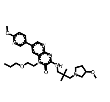 CCCOCCn1c(=O)c(NCC(C)(C)CN2CCC(OC)C2)nc2ncc(-c3ccc(OC)nc3)cc21